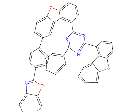 c1ccc(-c2nc(-c3cccc4oc5ccc(-c6ccc(-c7nc8ccccc8o7)cc6)cc5c34)nc(-c3cccc4sc5ccccc5c34)n2)cc1